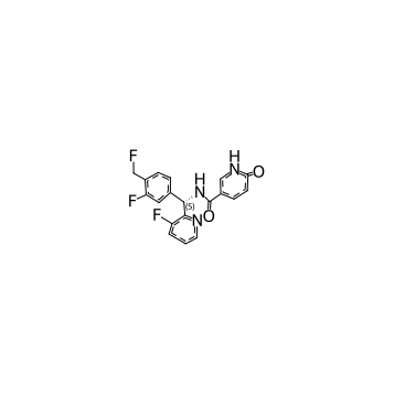 O=C(N[C@@H](c1ccc(CF)c(F)c1)c1ncccc1F)c1ccc(=O)[nH]c1